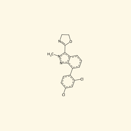 Cn1nc2c(-c3ccc(Cl)cc3Cl)cccc2c1C1=NCCO1